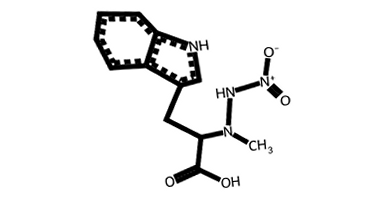 CN(N[N+](=O)[O-])C(Cc1c[nH]c2ccccc12)C(=O)O